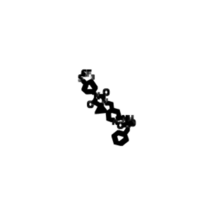 O=C1N(c2ccc(SC(F)(F)F)cc2)C(=O)C2(CC2)N1Cc1ccnc(NS(=O)(=O)Cc2ccccc2)c1